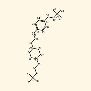 CC(C)(C)CCCN1CCC(CCOc2ccc(CCC(C)(C)C)cc2)CC1